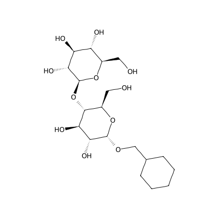 OC[C@H]1O[C@@H](O[C@H]2[C@H](O)[C@@H](O)[C@@H](OCC3CCCCC3)O[C@@H]2CO)[C@H](O)[C@@H](O)[C@@H]1O